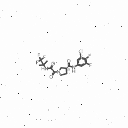 CC(C)(NC(=O)C(=O)N1CC[C@H](C(=O)Nc2cc(F)c(F)c(Cl)c2)C1)C(F)(F)F